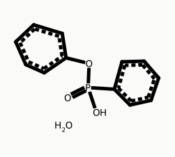 O.O=P(O)(Oc1ccccc1)c1ccccc1